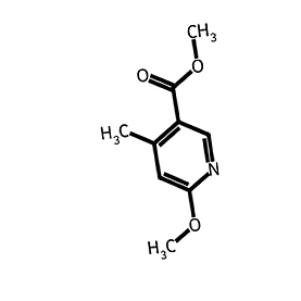 COC(=O)c1cnc(OC)cc1C